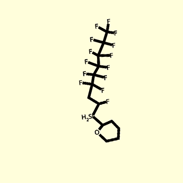 FC(CC(F)(F)C(F)(F)C(F)(F)C(F)(F)C(F)(F)C(F)(F)F)[SiH2]C1CCCCO1